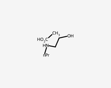 CC(=O)O.CCCNCCO